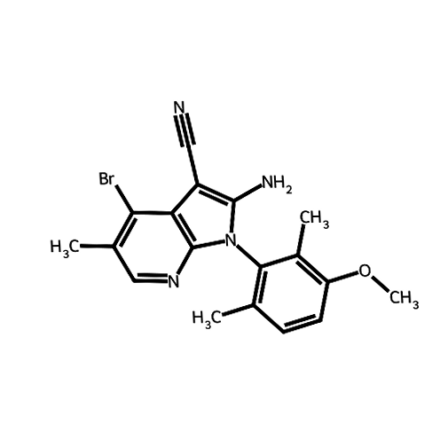 COc1ccc(C)c(-n2c(N)c(C#N)c3c(Br)c(C)cnc32)c1C